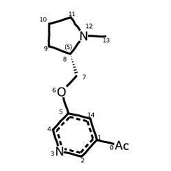 CC(=O)c1cncc(OC[C@@H]2CCCN2C)c1